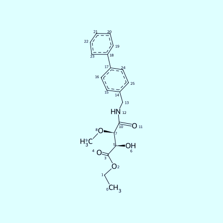 CCOC(=O)[C@H](O)[C@@H](OC)C(=O)NCc1ccc(-c2ccccc2)cc1